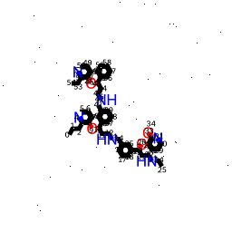 CCCc1ncccc1OC(CCNCc1cccc(C(CCNCC)Oc2cccnc2OC)c1)c1cccc(CNCCC(Oc2cccnc2CC)c2ccccc2)c1